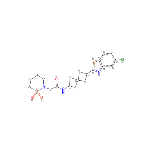 O=C(CN1CCCCS1(=O)=O)NC1CC2(C1)CC(c1nc3cc(Cl)ccc3s1)C2